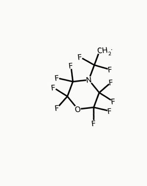 [CH2]C(F)(F)N1C(F)(F)C(F)(F)OC(F)(F)C1(F)F